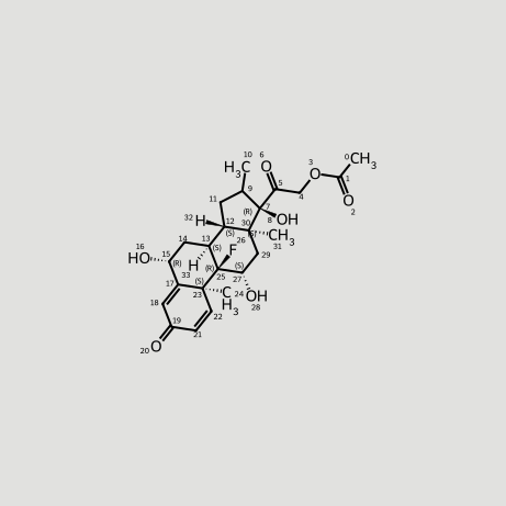 CC(=O)OCC(=O)[C@@]1(O)C(C)C[C@H]2[C@@H]3C[C@@H](O)C4=CC(=O)C=C[C@]4(C)[C@@]3(F)[C@@H](O)C[C@@]21C